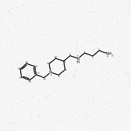 NCCCNCC1CCN(Cc2ccccc2)CC1